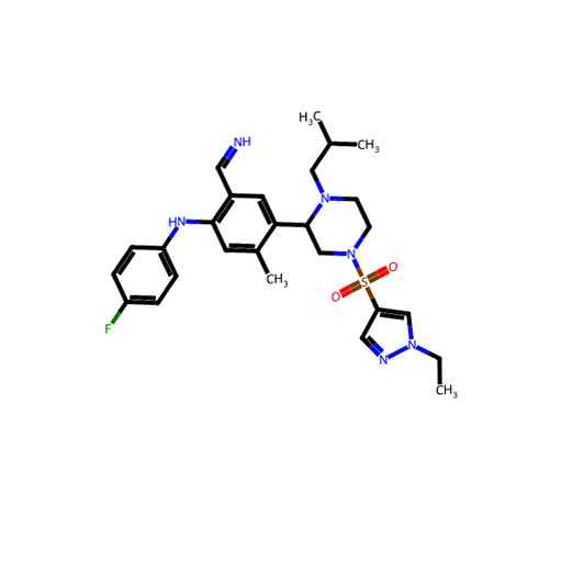 CCn1cc(S(=O)(=O)N2CCN(CC(C)C)C(c3cc(C=N)c(Nc4ccc(F)cc4)cc3C)C2)cn1